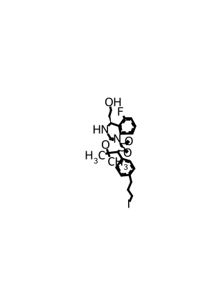 CC1(C)OC(N[C@@H](CCO)c2ccccc2F)=NS(=O)(=O)C1c1ccc(CCCI)cc1